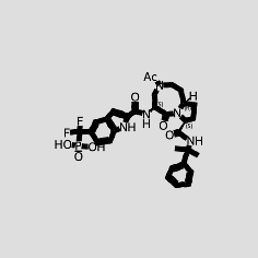 CC(=O)N1CC[C@H]2CC[C@@H](C(=O)NC(C)(C)c3ccccc3)N2C(=O)[C@@H](NC(=O)c2cc3cc(C(F)(F)P(=O)(O)O)ccc3[nH]2)C1